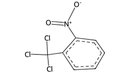 O=[N+]([O-])c1ccccc1C(Cl)(Cl)Cl